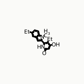 CCc1ccc2c(c1)cc(-c1[nH]c(=O)cc(O)c1CC)n2C